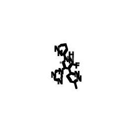 Cc1ccc(C2=C(F)NN(c3cccnn3)[C]=C2N2C=NC=NC2)nn1